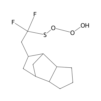 OOOSC(F)(F)CC1CC2CC1C1CCCC21